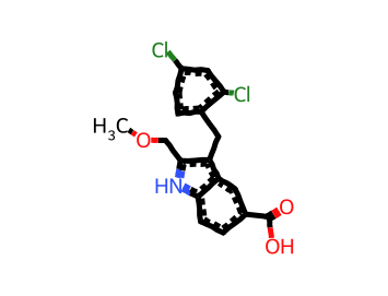 COCc1[nH]c2ccc(C(=O)O)cc2c1Cc1ccc(Cl)cc1Cl